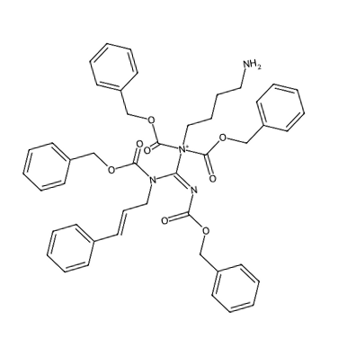 NCCCC[N+](C(=O)OCc1ccccc1)(C(=O)OCc1ccccc1)C(=NC(=O)OCc1ccccc1)N(CC=Cc1ccccc1)C(=O)OCc1ccccc1